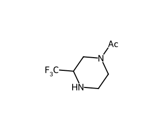 CC(=O)N1CCNC(C(F)(F)F)C1